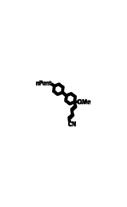 CCCCCC1CCC(C2CCC(C=CC=CC#N)(OC)CC2)CC1